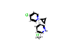 C1CC1.[Cl-].[Cl-].[Pt+2].c1ccncc1.c1ccncc1